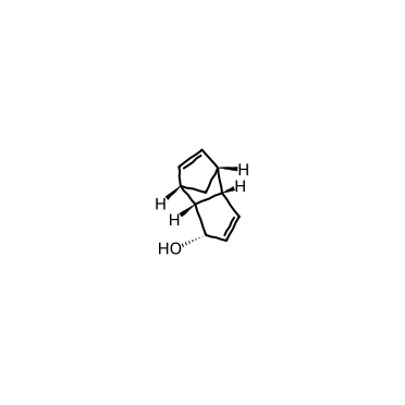 O[C@H]1C=C[C@@H]2[C@H]1[C@@H]1C=C[C@H]2C1